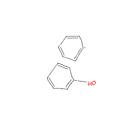 [CH2]c1ccccc1.[OH].[c]1ccccc1